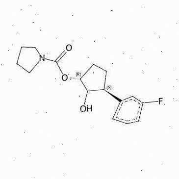 O=C(O[C@@H]1CC[C@@H](c2cccc(F)c2)C1O)N1CCCC1